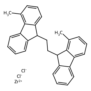 Cc1cccc2c1-c1ccccc1C2CCC1c2ccccc2-c2cccc(C)c21.[Cl-].[Cl-].[Zr+2]